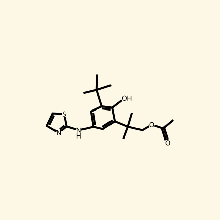 CC(=O)OCC(C)(C)c1cc(Nc2nccs2)cc(C(C)(C)C)c1O